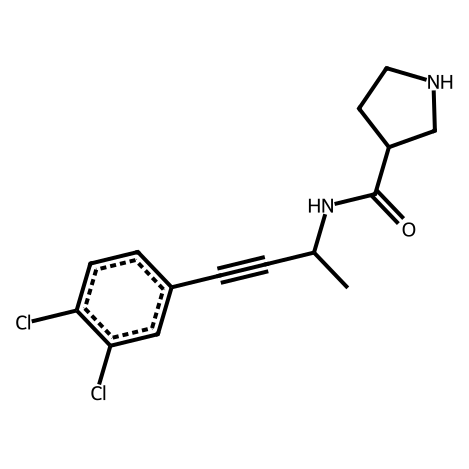 CC(C#Cc1ccc(Cl)c(Cl)c1)NC(=O)C1CCNC1